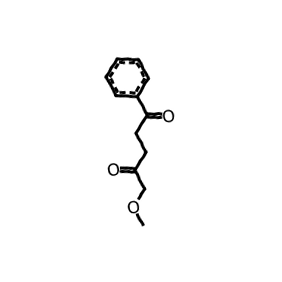 COCC(=O)CCC(=O)c1ccccc1